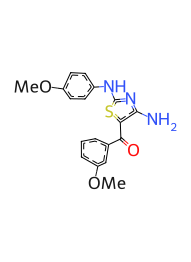 COc1ccc(Nc2nc(N)c(C(=O)c3cccc(OC)c3)s2)cc1